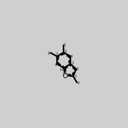 Cc1cc2cc(C)c(C)cc2o1